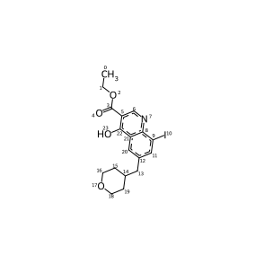 CCOC(=O)c1cnc2c(I)cc(CC3CCOCC3)cc2c1O